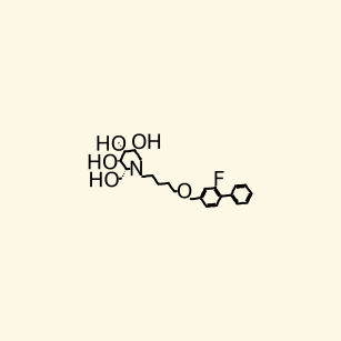 OC[C@@H]1[C@H](O)[C@H](O)[C@@H](O)CN1CCCCCOCc1ccc(-c2ccccc2)c(F)c1